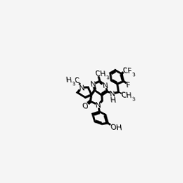 Cc1nc(N[C@H](C)c2cccc(C(F)(F)F)c2F)c2c(n1)C1(CCN(C)C1)C(=O)N(c1cccc(O)c1)C2